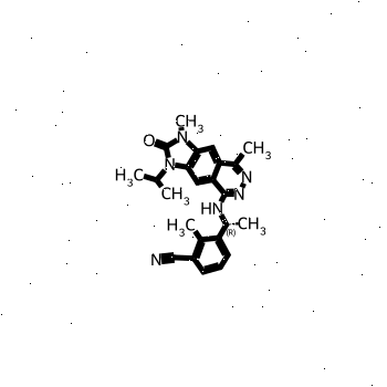 Cc1c(C#N)cccc1[C@@H](C)Nc1nnc(C)c2cc3c(cc12)n(C(C)C)c(=O)n3C